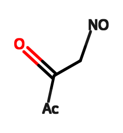 CC(=O)C(=O)CN=O